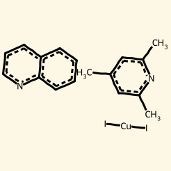 Cc1cc(C)nc(C)c1.[I][Cu][I].c1ccc2ncccc2c1